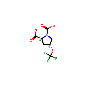 O=C(O)[C@@H]1C[C@@H](OC(F)(F)F)CN1C(=O)O